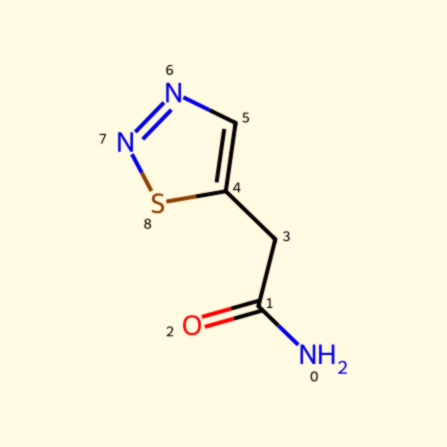 NC(=O)Cc1cnns1